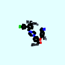 COC(=O)c1ccc(N2CCN(CC3=C(c4ccc(Cl)cc4)CC(C)(C)CC3)CC2)cc1Oc1cc2cc[nH]c2cc1C(F)(F)F